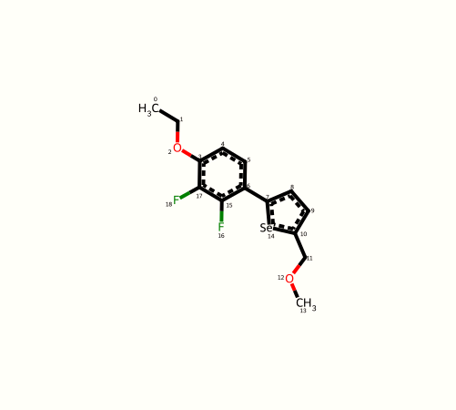 CCOc1ccc(-c2ccc(COC)[se]2)c(F)c1F